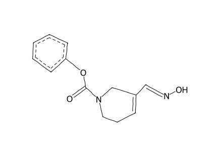 O=C(Oc1ccccc1)N1CCC=C(/C=N/O)C1